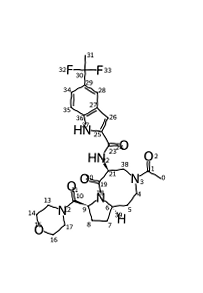 CC(=O)N1CC[C@H]2CC[C@@H](C(=O)N3CCOCC3)N2C(=O)[C@@H](NC(=O)c2cc3cc(C(C)(F)F)ccc3[nH]2)C1